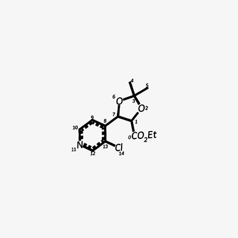 CCOC(=O)C1OC(C)(C)OC1c1ccncc1Cl